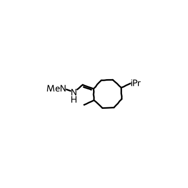 CNN/C=C1/CCC(C(C)C)CCCC1C